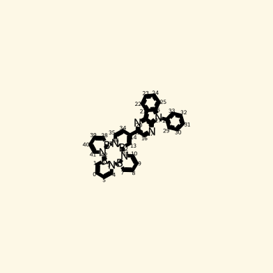 C1=CB2N(C=C1)B1C=CC=CN1B1C=C(c3cnc4c(n3)c3ccccc3n4-c3ccccc3)C=CN1B1C=CC=CN21